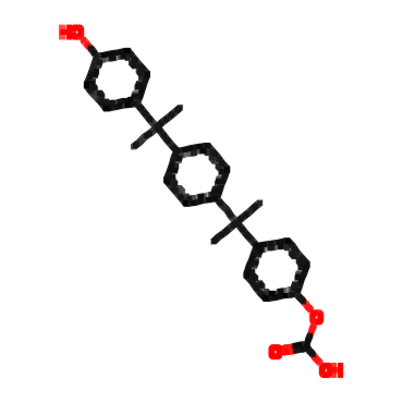 CC(C)(c1ccc(O)cc1)c1ccc(C(C)(C)c2ccc(OC(=O)O)cc2)cc1